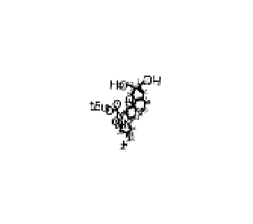 CC(C)(C)OC(=O)N[C@H]1C[C@H]2c3cc(CO)c(CO)cc3CCN2CC1N1C[C@@H](CF)CC1=O